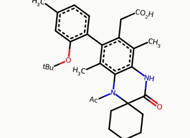 CC(=O)N1c2c(C)c(-c3ccc(C)cc3OC(C)(C)C)c(CC(=O)O)c(C)c2NC(=O)C12CCCCC2